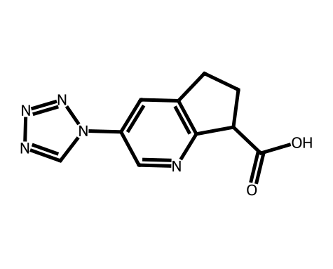 O=C(O)C1CCc2cc(-n3cnnn3)cnc21